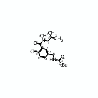 C=C(C)CN(C)C(=O)c1cc(CNC(=O)C(C)(C)C)ccc1Cl